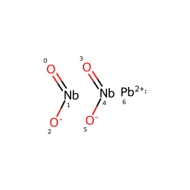 [O]=[Nb][O-].[O]=[Nb][O-].[Pb+2]